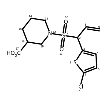 C=CC(c1ccc(Cl)s1)S(=O)(=O)N1CCCC(C(=O)O)C1